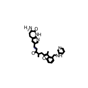 Cc1c(CC(C)C(=O)/C=C/c2cnc3c(c2)CC[C@H](N)C(=O)N3)oc2cccc(CNc3cccnc3)c12